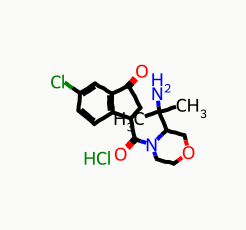 CC(C)(N)C1COCCN1C(=O)C1CC(=O)c2cc(Cl)ccc21.Cl